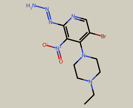 CCN1CCN(c2c(Br)cnc(N=NN)c2[N+](=O)[O-])CC1